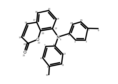 Cc1ccc(N(c2ccc(C)cc2)c2cccc3ccc(=O)oc23)cc1